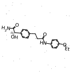 CCOc1ccc(NC(=O)[CH]Cc2ccc([C@H](O)C(N)=O)cc2)cc1